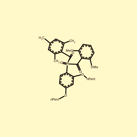 CCCCCOc1ccc(P(=O)(C(=O)c2c(C)cc(C)cc2C)C(=O)c2c(OC)cccc2OC)c(OCCCCC)c1